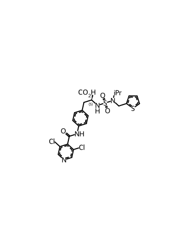 CC(C)N(Cc1cccs1)S(=O)(=O)N[C@@H](Cc1ccc(NC(=O)c2c(Cl)cncc2Cl)cc1)C(=O)O